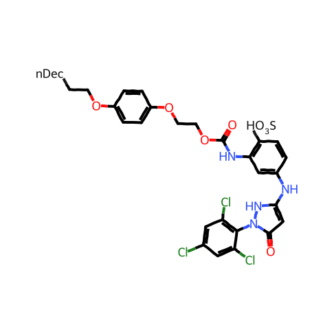 CCCCCCCCCCCCOc1ccc(OCCOC(=O)Nc2cc(Nc3cc(=O)n(-c4c(Cl)cc(Cl)cc4Cl)[nH]3)ccc2S(=O)(=O)O)cc1